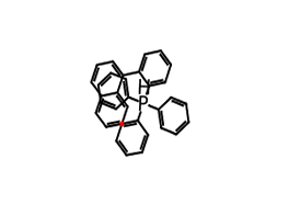 c1ccc([PH](c2ccccc2)(c2ccccc2)c2ccccc2-c2cccc3ccccc23)cc1